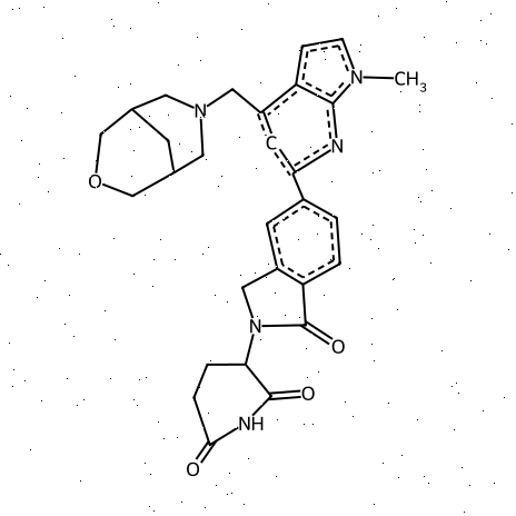 Cn1ccc2c(CN3CC4COCC(C4)C3)cc(-c3ccc4c(c3)CN(C3CCC(=O)NC3=O)C4=O)nc21